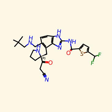 CC(C)(C)CNCc1ccc2[nH]c(NC(=O)c3ccc(C(F)F)s3)nc2c1C[C@@]1(C(=O)CC#N)CCCN1